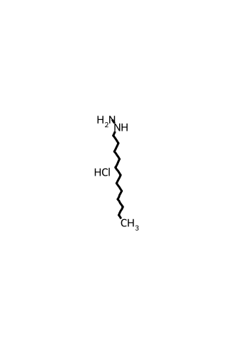 CCCCCCCCCCCCNN.Cl